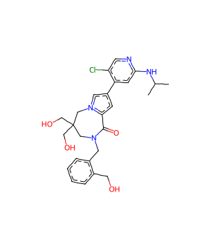 CC(C)Nc1cc(-c2cc3n(c2)CC(CO)(CO)CN(Cc2ccccc2CO)C3=O)c(Cl)cn1